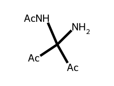 CC(=O)NC(N)(C(C)=O)C(C)=O